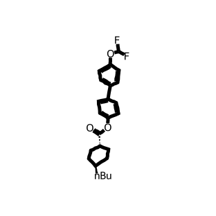 CCCC[C@H]1CC[C@H](C(=O)Oc2ccc(-c3ccc(OC(F)F)cc3)cc2)CC1